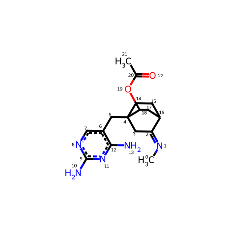 C/N=C1\CC2(Cc3cnc(N)nc3N)CCC1CC2OC(C)=O